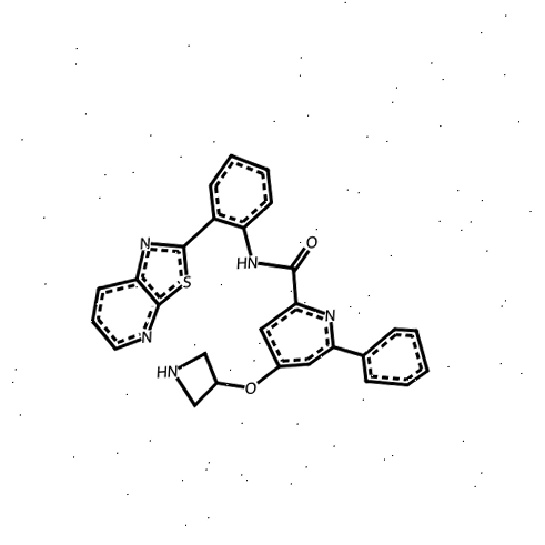 O=C(Nc1ccccc1-c1nc2cccnc2s1)c1cc(OC2CNC2)cc(-c2ccccc2)n1